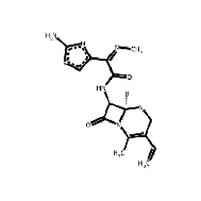 C=CC1=C(C)N2C(=O)[C@@H](NC(=O)/C(=N\C)c3csc(N)n3)[C@H]2SC1